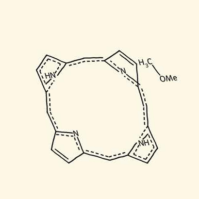 C1=Cc2cc3ccc(cc4nc(cc5ccc(cc1n2)[nH]5)C=C4)[nH]3.COC